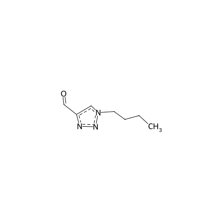 CCCCn1cc(C=O)nn1